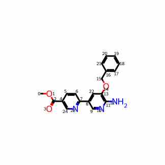 COC(=O)c1ccc(-c2cnc(N)c(OCc3ccccc3)c2)nc1